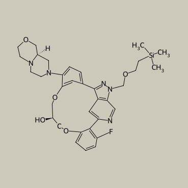 C[Si](C)(C)CCOCn1nc2c3cc(ncc31)-c1c(F)cccc1OC[C@@H](O)COc1cc-2ccc1N1CCN2CCOC[C@H]2C1